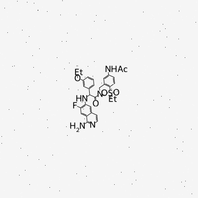 CCOc1cccc(C(Nc2cc3ccnc(N)c3cc2F)C(=O)N(C)Cc2cc(NC(C)=O)ccc2S(=O)(=O)CC)c1